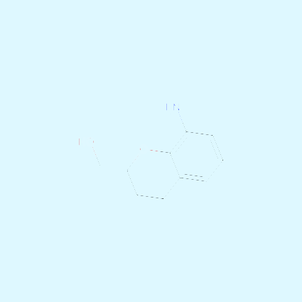 Nc1cccc2c1O[C@@H](CO)CC2